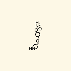 NC(=O)OC1CCC(COCC2CCNCC2)CC1